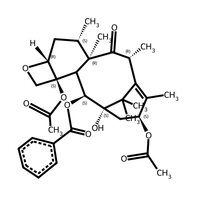 CC(=O)O[C@H]1C[C@@]2(O)[C@@H](OC(=O)c3ccccc3)C3[C@](C)(C(=O)[C@H](C)C(=C1C)C2(C)C)[C@@H](C)C[C@H]1OC[C@@]31OC(C)=O